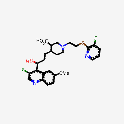 COc1ccc2ncc(F)c(C(O)CCC3CCN(CCSc4ncccc4F)CC3C(=O)O)c2c1